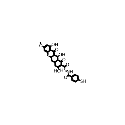 COc1cc(O)c2c(c1)SC1CC3CC(O)=C(C(=O)NNC(=O)c4ccc(S)cc4)C(=O)C3C(O)C1C2=O